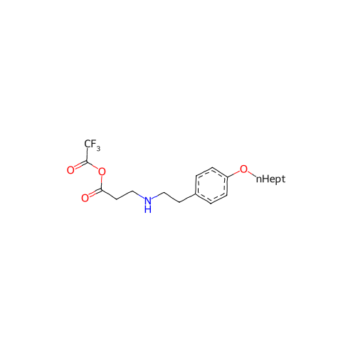 CCCCCCCOc1ccc(CCNCCC(=O)OC(=O)C(F)(F)F)cc1